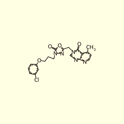 Cc1ccnc2ncn(Cc3nn(CCCOc4cccc(Cl)c4)c(=O)o3)c(=O)c12